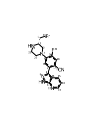 CC(C)C[C@@H]1CN(c2cc(-c3n[nH]c4ncccc34)c(C#N)cc2F)CCN1